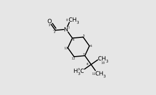 CN([C]=O)C1CCC(C(C)(C)C)CC1